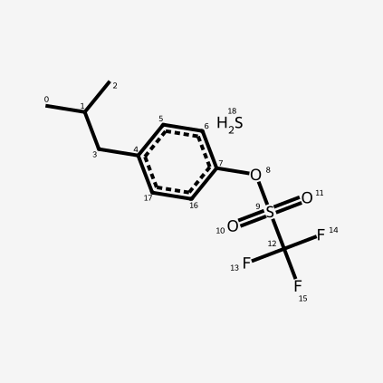 CC(C)Cc1ccc(OS(=O)(=O)C(F)(F)F)cc1.S